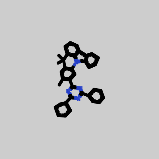 Cc1cc2c(cc1-c1nc(-c3ccccc3)nc(-c3ccccc3)n1)-n1c3ccccc3c3cccc(c31)C2(C)C